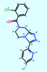 O=C(c1ccccc1Cl)N1CCn2c(nnc2-c2ccc(F)cn2)C1